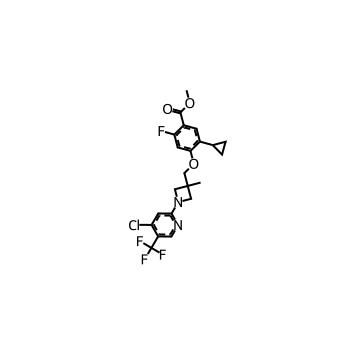 COC(=O)c1cc(C2CC2)c(OCC2(C)CN(c3cc(Cl)c(C(F)(F)F)cn3)C2)cc1F